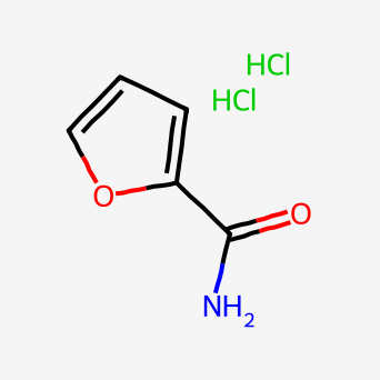 Cl.Cl.NC(=O)c1ccco1